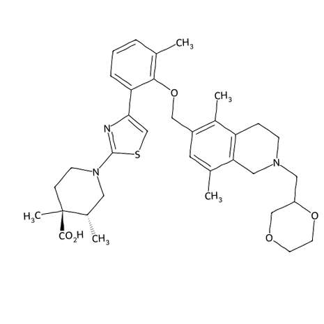 Cc1cc(COc2c(C)cccc2-c2csc(N3CC[C@](C)(C(=O)O)[C@@H](C)C3)n2)c(C)c2c1CN(CC1COCCO1)CC2